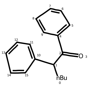 [CH2]CCCC(C(=O)c1ccccc1)c1ccccc1